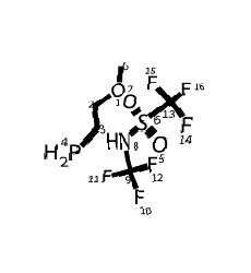 COCCP.O=S(=O)(NC(F)(F)F)C(F)(F)F